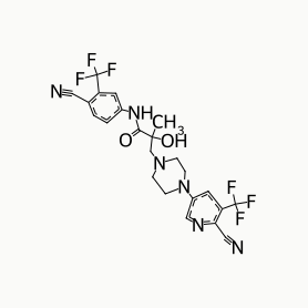 CC(O)(CN1CCN(c2cnc(C#N)c(C(F)(F)F)c2)CC1)C(=O)Nc1ccc(C#N)c(C(F)(F)F)c1